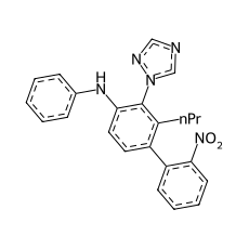 CCCc1c(-c2ccccc2[N+](=O)[O-])ccc(Nc2ccccc2)c1-n1cncn1